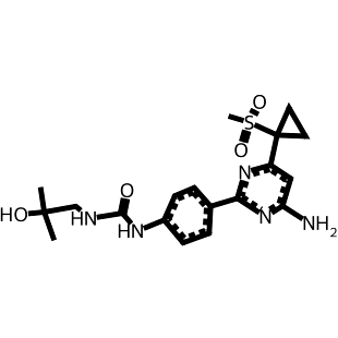 CC(C)(O)CNC(=O)Nc1ccc(-c2nc(N)cc(C3(S(C)(=O)=O)CC3)n2)cc1